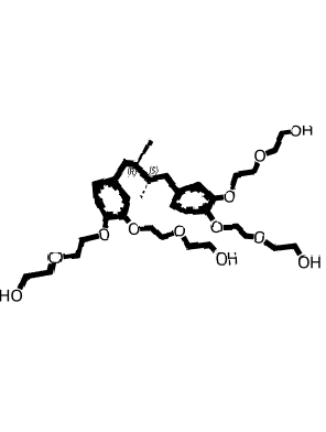 C[C@H](Cc1ccc(OCCOCCO)c(OCCOCCO)c1)[C@@H](C)Cc1ccc(OCCOCCO)c(OCCOCCO)c1